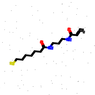 C=CC(=O)NCCCNC(=O)CCCCCCS